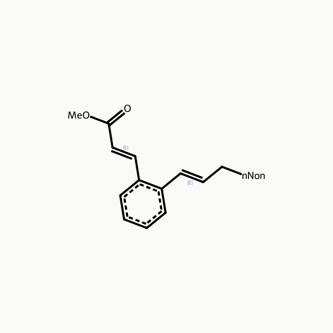 CCCCCCCCCC/C=C/c1ccccc1/C=C/C(=O)OC